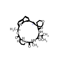 C=C(C)[C@@H]1NC(=O)C2(/C=C/c3ccc4ccc(nc4c3)[C@@H](C)OC(=O)[C@@H]3CCCN(N3)C(=O)[C@H](C)NC1=O)CCOCC2